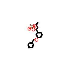 C=CCC(OS(C)(=O)=O)c1cccc(OCc2ccccc2)c1